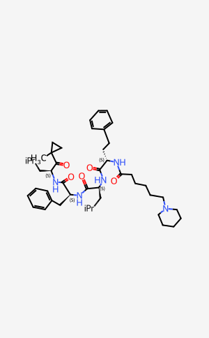 CC(C)C[C@H](NC(=O)[C@H](CCc1ccccc1)NC(=O)CCCCCN1CCCCC1)C(=O)N[C@@H](Cc1ccccc1)C(=O)N[C@@H](CC(C)C)C(=O)C1(C)CC1